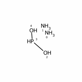 N.N.OPO